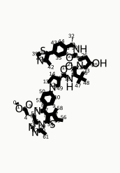 COC(=O)C[C@@H]1N=C(c2ccc(N3CC[C@@H](C(=O)N[C@H](C(=O)N4C[C@H](O)C[C@H]4C(=O)N[C@@H](C)c4ccc(-c5scnc5C)cc4)C(C)(C)C)C3)cc2)c2c(sc(C)c2C)-n2c(C)nnc21